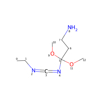 CCN=C=NC(CCN)(OC)OC